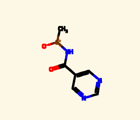 C[S+]([O-])NC(=O)c1cncnc1